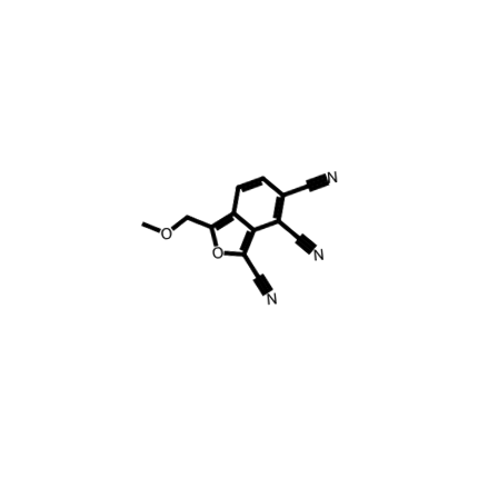 COCc1oc(C#N)c2c(C#N)c(C#N)ccc12